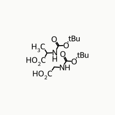 CC(C)(C)OC(=O)NCC(=O)O.CC(NC(=O)OC(C)(C)C)C(=O)O